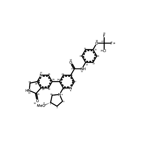 CO[C@H]1CCN(c2ncc(C(=O)Nc3ccc(OC(F)(F)Cl)cc3)cc2-c2cnc3c(c2)C(=O)NC3)C1